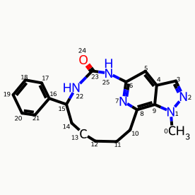 Cn1ncc2cc3nc(c21)CCCCCC(c1ccccc1)NC(=O)N3